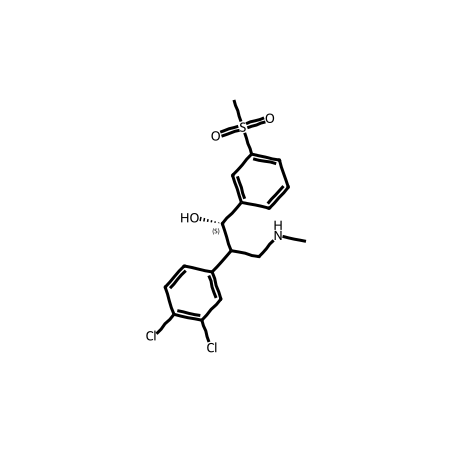 CNCC(c1ccc(Cl)c(Cl)c1)[C@H](O)c1cccc(S(C)(=O)=O)c1